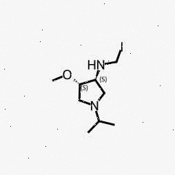 CO[C@H]1CN(C(C)C)C[C@@H]1NCI